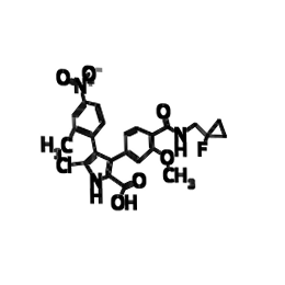 COc1cc(-c2c(C(=O)O)[nH]c(Cl)c2-c2ccc([N+](=O)[O-])cc2C)ccc1C(=O)NCC1(F)CC1